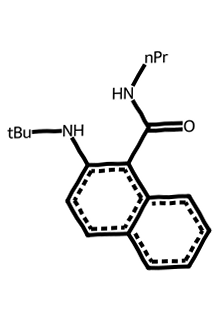 CCCNC(=O)c1c(NC(C)(C)C)ccc2ccccc12